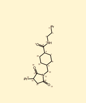 CC(C)CCNC(=O)C1CCC(CN2C(=O)CC(C(C)C)C2=O)CC1